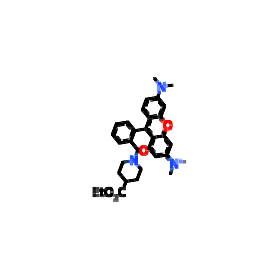 CCOC(=O)C1CCN(C(=O)c2ccccc2-c2c3ccc(=[N+](C)C)cc-3oc3cc(N(C)C)ccc23)CC1